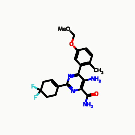 COCOc1ccc(C)c(-c2nc(C3=CCC(F)(F)CC3)nc(C(N)=O)c2N)c1